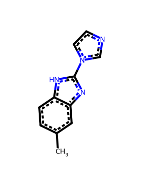 Cc1ccc2[nH]c(-n3ccnc3)nc2c1